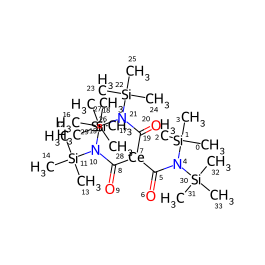 C[Si](C)(C)N([C](=O)[Ce]([C](=O)N([Si](C)(C)C)[Si](C)(C)C)[C](=O)N([Si](C)(C)C)[Si](C)(C)C)[Si](C)(C)C